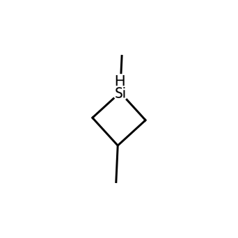 CC1C[SiH](C)C1